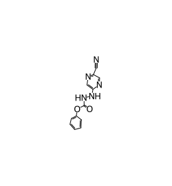 N#Cc1cnc(NNC(=O)Oc2ccccc2)cn1